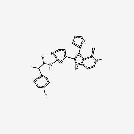 CC(C(=O)Nc1cc(-c2[nH]c3ccn(C)c(=O)c3c2-c2ccco2)ccn1)c1ccc(F)cc1